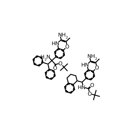 CC1=C(N)Nc2cc(C(N)(C(=O)OC(C)(C)C)C(c3ccccc3)c3ccccc3)ccc2O1.CC1=C(N)Nc2cc(C(NC(=O)OC(C)(C)C)C3CCCc4ccccc43)ccc2O1